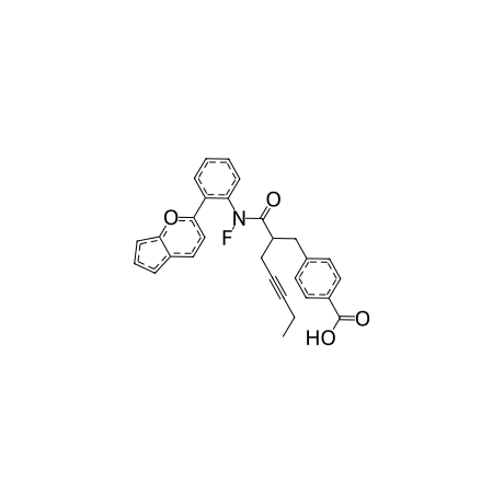 CCC#CCC(Cc1ccc(C(=O)O)cc1)C(=O)N(F)c1ccccc1-c1ccc2cccc-2o1